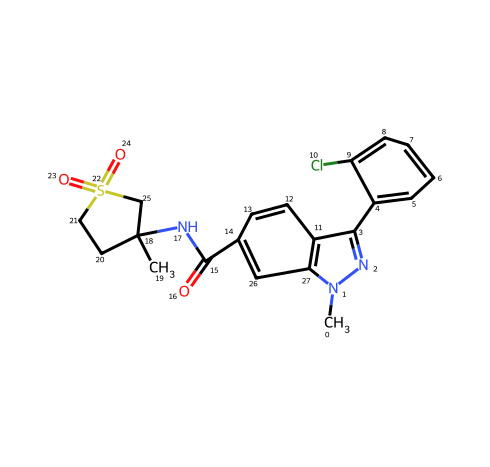 Cn1nc(-c2ccccc2Cl)c2ccc(C(=O)NC3(C)CCS(=O)(=O)C3)cc21